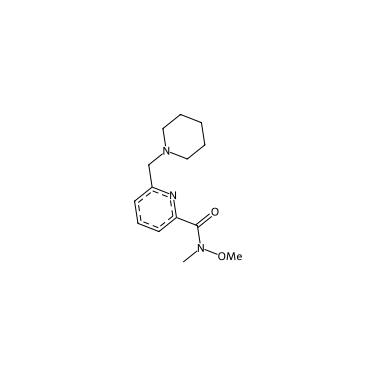 CON(C)C(=O)c1cccc(CN2CCCCC2)n1